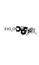 CCOC(=O)N1CCC(O)(c2cccc3c2ccn3[Si](C)(C)C(C)(C)C)CC1